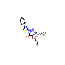 C=CCOC[C@H](NC(=O)O)C(=O)Nc1nc(-c2ccccc2)cs1